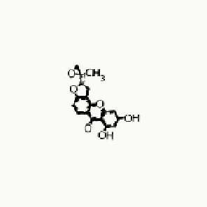 C[C@]1([C@H]2Cc3c(ccc4c(=O)c5c(O)cc(O)cc5oc34)O2)CO1